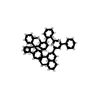 C1=Cc2cc(-c3cc(-c4ccccc4)nc(-c4ccccc4-c4cccc5c4Sc4ccccc4C54c5ccccc5-c5ccccc54)n3)cc3cccc(c23)C1